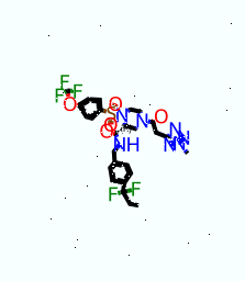 CCC(F)(F)c1ccc(CNC(=O)[C@H]2CN(C(=O)Cc3nnn(C)n3)CCN2S(=O)(=O)c2ccc(OC(F)(F)F)cc2)cc1